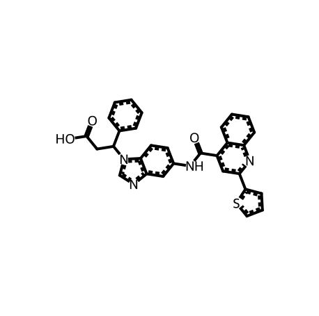 O=C(O)CC(c1ccccc1)n1cnc2cc(NC(=O)c3cc(-c4cccs4)nc4ccccc34)ccc21